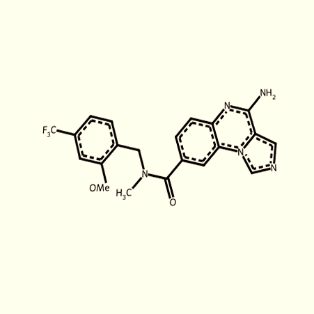 COc1cc(C(F)(F)F)ccc1CN(C)C(=O)c1ccc2nc(N)c3cncn3c2c1